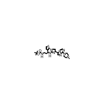 CN1CCN(c2nccn3c(-c4ccnc(NC(CCNC(=O)OC(C)(C)C)c5ccsc5)n4)cnc23)CC1